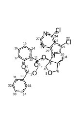 O=C(OC[C@H]1OC[C@H](F)[C@@]1(OC(=O)c1ccccc1)n1cc(Cl)c2c(Cl)ncnc21)c1ccccc1